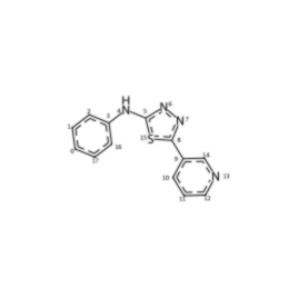 c1ccc(Nc2nnc(-c3cccnc3)s2)cc1